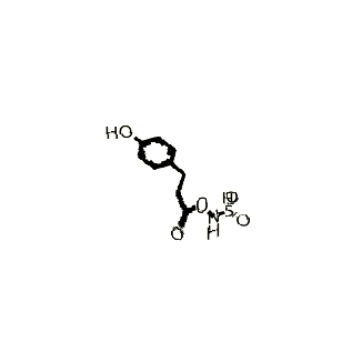 O=C(CCc1ccc(O)cc1)ON[SH](=O)=O